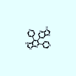 c1cc(-c2nc3nc[nH]c3c(-c3ccncc3)c2-c2cnc3[nH]cnc3c2)ccn1